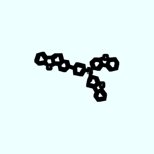 c1ccc2c(c1)oc1cc(N(c3ccc(-c4ccc5c(ccc6c7ccccc7oc56)c4)cc3)c3ccc4oc5ccccc5c4c3)ccc12